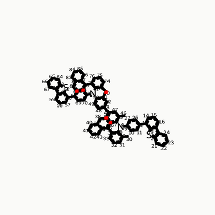 Cc1cc(-c2ccc(N(c3ccc(-c4cccc5c4sc4ccccc45)cc3)c3c(C)cccc3-c3cccc4ccccc34)c(C)c2)ccc1N(c1ccc(-c2cccc3c2sc2ccccc23)cc1)c1c(C)cccc1-c1cccc2ccccc12